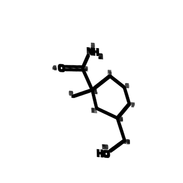 CC1(C(N)=O)CCCC([CH]O)C1